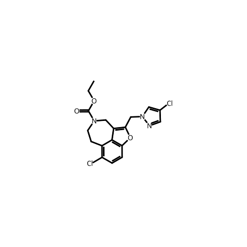 CCOC(=O)N1CCc2c(Cl)ccc3oc(Cn4cc(Cl)cn4)c(c23)C1